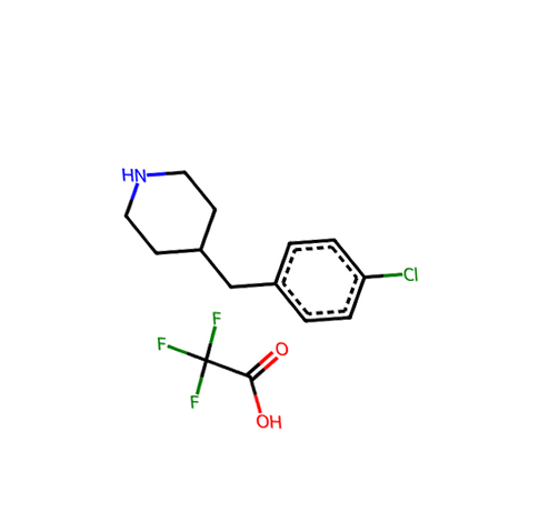 Clc1ccc(CC2CCNCC2)cc1.O=C(O)C(F)(F)F